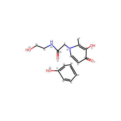 Cc1c(O)c(=O)ccn1CC(=O)NCCO.Oc1ccccc1